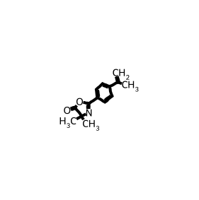 C=C(C)c1ccc(C2=NC(C)(C)C(=O)O2)cc1